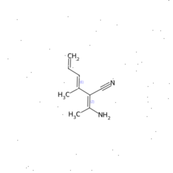 C=C/C=C(C)/C(C#N)=C(\C)N